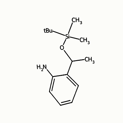 CC(O[Si](C)(C)C(C)(C)C)c1ccccc1N